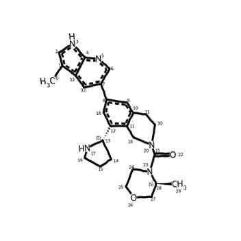 Cc1c[nH]c2ncc(-c3cc4c(c([C@@H]5CCCN5)c3)CN(C(=O)N3CCOC[C@@H]3C)CC4)cc12